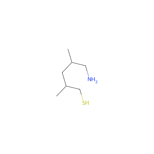 CC(CN)CC(C)CS